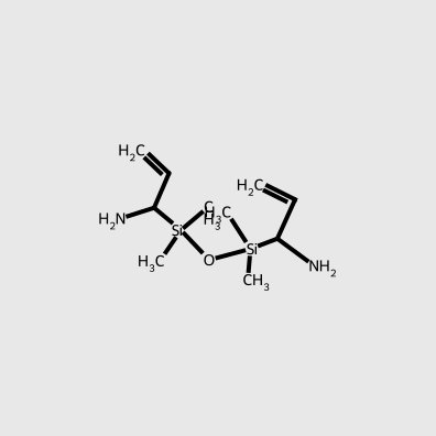 C=CC(N)[Si](C)(C)O[Si](C)(C)C(N)C=C